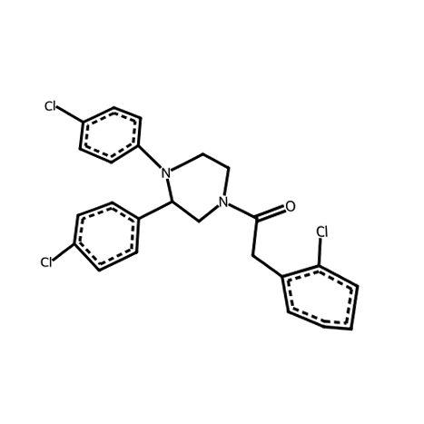 O=C(Cc1ccccc1Cl)N1CCN(c2ccc(Cl)cc2)C(c2ccc(Cl)cc2)C1